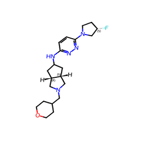 F[C@H]1CCN(c2ccc(NC3C[C@@H]4CN(CC5CCOCC5)C[C@@H]4C3)nn2)C1